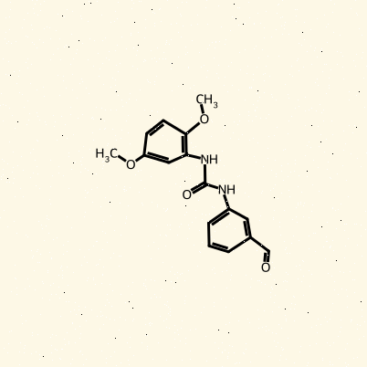 COc1ccc(OC)c(NC(=O)Nc2cccc(C=O)c2)c1